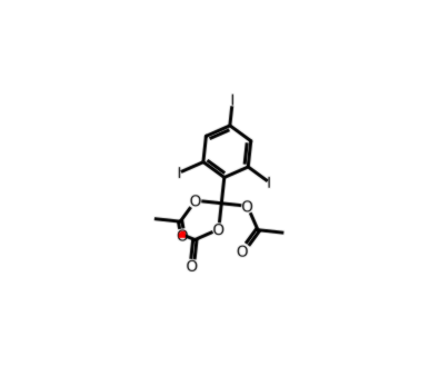 CC(=O)OC(OC(C)=O)(OC(C)=O)c1c(I)cc(I)cc1I